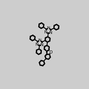 c1ccc(-c2ccc3oc4cc(-c5ccc(-c6nc(-c7ccccc7)nc(-c7ccccc7)n6)cc5-c5nc(-c6ccccc6)nc(-c6ccccc6)n5)ccc4c3c2)cc1